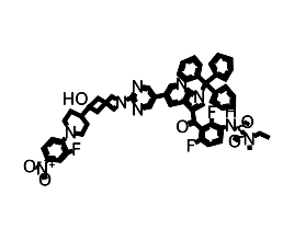 CCN(C)S(=O)(=O)Nc1ccc(F)c(C(=O)c2cn(C(c3ccccc3)(c3ccccc3)c3ccccc3)c3ncc(-c4cnc(N5CC6(C5)CC(O)(C5CCN(c7ccc([N+](=O)[O-])cc7F)CC5)C6)nc4)cc23)c1F